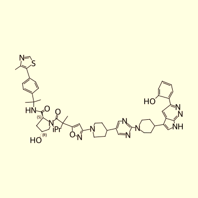 Cc1ncsc1-c1ccc(C(C)(C)NC(=O)[C@@H]2C[C@@H](O)CN2C(=O)C(C)(c2cc(N3CCC(c4cnc(N5CCC(c6c[nH]c7nnc(-c8ccccc8O)cc67)CC5)nc4)CC3)no2)C(C)C)cc1